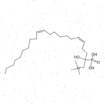 CCCCCCCCC/C=C\CCCCC/C=C\CCC(O)(C[N+](C)(C)C)P(=O)(O)O